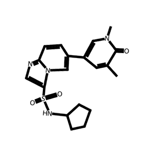 Cc1cc(-c2ccc3ncc(S(=O)(=O)NC4CCCC4)n3c2)cn(C)c1=O